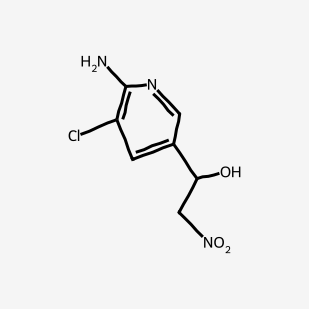 Nc1ncc(C(O)C[N+](=O)[O-])cc1Cl